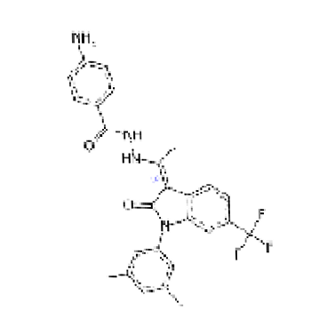 C/C(NNC(=O)c1ccc(N)cc1)=C1/C(=O)N(c2cc(C)cc(C)c2)c2cc(C(F)(F)F)ccc21